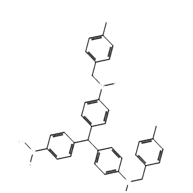 CCN(Cc1ccc(C)cc1)c1ccc(C(c2ccc(N(CC)Cc3ccc(C)cc3)cc2)c2ccc(N(C(C)C)C(C)C)cc2)cc1